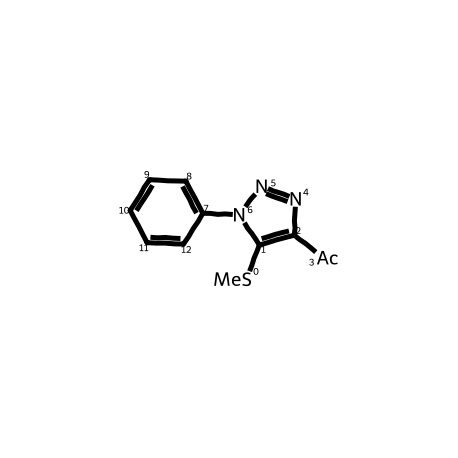 CSc1c(C(C)=O)nnn1-c1ccccc1